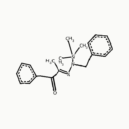 CC(=NN(Cc1ccccc1)[Si](C)(C)C)C(=O)c1ccccc1